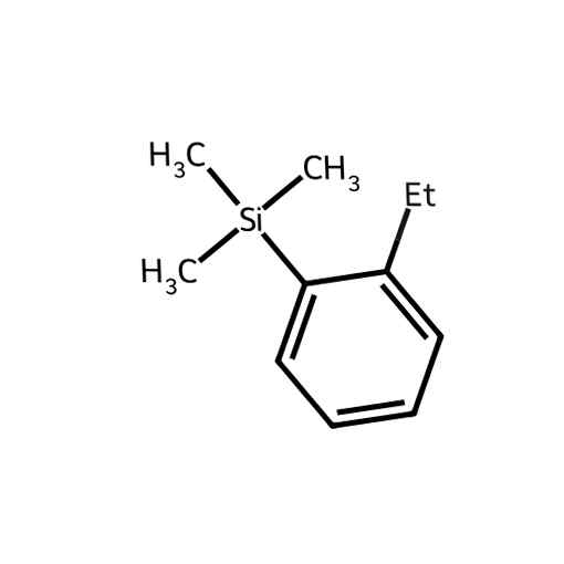 [CH2]Cc1ccccc1[Si](C)(C)C